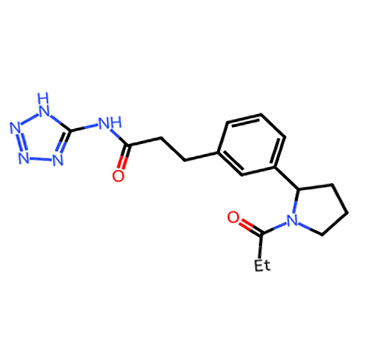 CCC(=O)N1CCCC1c1cccc(CCC(=O)Nc2nnn[nH]2)c1